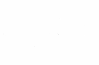 Cn1cc(-c2ncc3cc(C4(O)CC(C(F)(F)F)C4)sc3n2)cn1